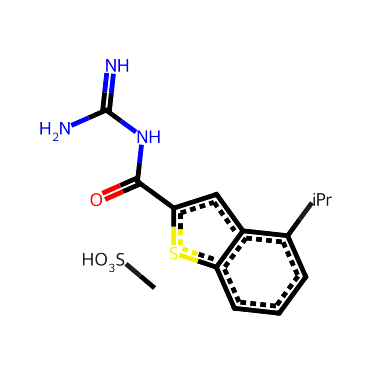 CC(C)c1cccc2sc(C(=O)NC(=N)N)cc12.CS(=O)(=O)O